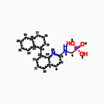 O=P(O)(O)CNc1ccc2cccc(-c3cccc4ccccc34)c2n1